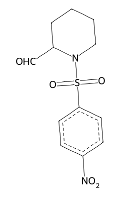 O=CC1CCCCN1S(=O)(=O)c1ccc([N+](=O)[O-])cc1